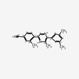 Cc1cc(C)cc(-c2ncc(-c3ccc(C#N)cc3C)nc2C)c1